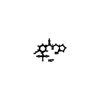 CCN1CCCC1CNC(=O)c1ccc(F)c(S(C)(=O)=O)c1.Cl